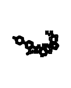 COc1cc(N2CCN(C)CC2)ccc1-c1nc2c(N[C@@H]3[C@H](OC(N)=O)[C@H]4C=C[C@@H]3C4)c(Cl)cnc2[nH]1